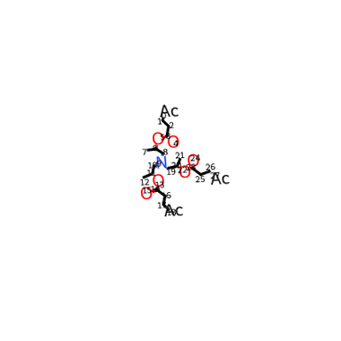 CC(=O)CCC(=O)OC(C)CN(CC(C)OC(=O)CCC(C)=O)CC(C)OC(=O)CCC(C)=O